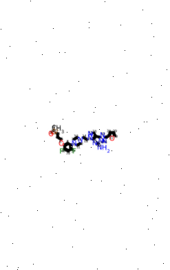 C[S@+]([O-])CCCOc1cc(N2CCN(CCn3ncc4c3nc(N)n3nc(-c5ccco5)nc43)CC2)c(F)cc1F